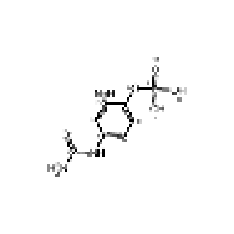 NC(=O)Nc1ccc(OP(=O)(O)O)cc1.[NaH]